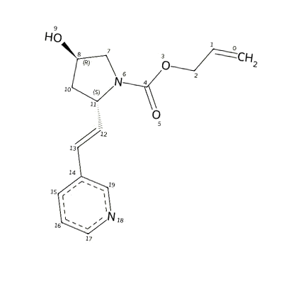 C=CCOC(=O)N1C[C@H](O)C[C@H]1C=Cc1cccnc1